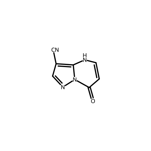 N#Cc1cnn2c(=O)cc[nH]c12